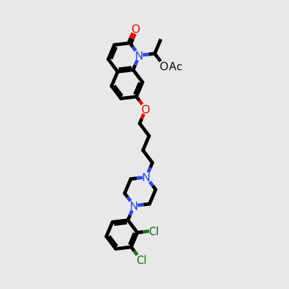 CC(=O)OC(C)n1c(=O)ccc2ccc(OCCCCN3CCN(c4cccc(Cl)c4Cl)CC3)cc21